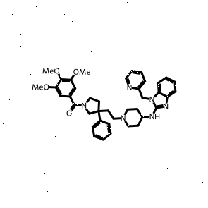 COc1cc(C(=O)N2CCC(CCN3CCC(Nc4nc5ccccc5n4Cc4ccccn4)CC3)(c3ccccc3)C2)cc(OC)c1OC